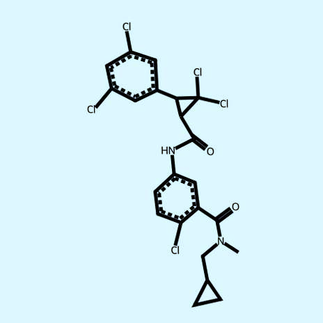 CN(CC1CC1)C(=O)c1cc(NC(=O)C2C(c3cc(Cl)cc(Cl)c3)C2(Cl)Cl)ccc1Cl